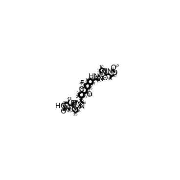 COC(=O)NC(C(=O)N1CCC[C@H]1c1ncc(-c2ccc3c(F)c4oc5ccc(-c6cnc([C@@H]7CCCN7C(=O)C(C(C)C)N(C)C(=O)O)[nH]6)cc5c(=O)c4cc3c2)[nH]1)C(C)C